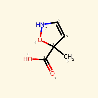 CC1(C(=O)O)[C]=[C]NO1